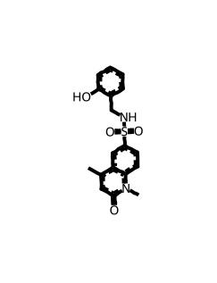 Cc1cc(=O)n(C)c2ccc(S(=O)(=O)NCc3ccccc3O)cc12